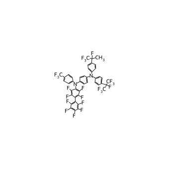 CC(F)(c1ccc(N(c2ccc(N(c3ccc(C(F)(F)F)cc3)c3c(F)c(F)c(-c4c(F)c(F)c(F)c(F)c4F)c(F)c3F)cc2)c2ccc(C(F)(C(F)(F)F)C(F)(F)F)cc2)cc1)C(F)(F)F